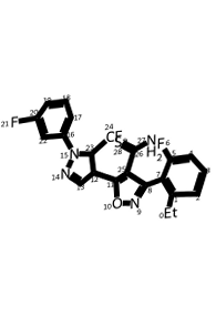 CCc1cccc(F)c1-c1noc(C2C=NN(c3cccc(F)c3)C2C(F)(F)F)c1C(N)=S